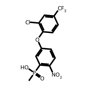 CP(=O)(O)c1cc(Oc2ccc(C(F)(F)F)cc2Cl)ccc1[N+](=O)[O-]